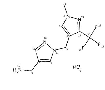 Cl.Cn1cc(Cn2cc(CN)cn2)c(C(F)(F)F)n1